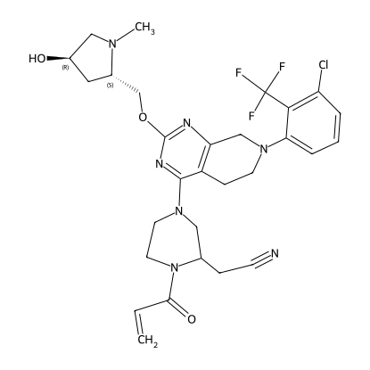 C=CC(=O)N1CCN(c2nc(OC[C@@H]3C[C@@H](O)CN3C)nc3c2CCN(c2cccc(Cl)c2C(F)(F)F)C3)CC1CC#N